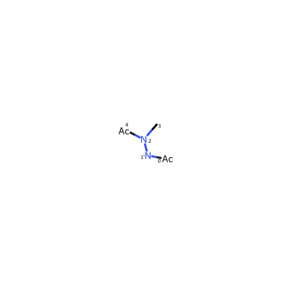 CC(=O)[N]N(C)C(C)=O